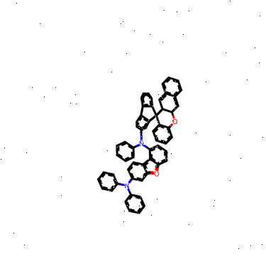 C1=c2ccccc2=CC2C1Oc1ccccc1C21c2ccccc2-c2ccc(N(c3ccccc3)c3cccc4oc5cc(N(c6ccccc6)c6ccccc6)ccc5c34)cc21